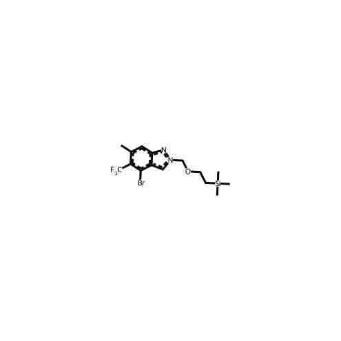 Cc1cc2nn(COCC[Si](C)(C)C)cc2c(Br)c1C(F)(F)F